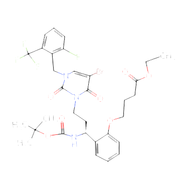 CCOC(=O)CCCOc1ccccc1[C@H](CCn1c(=O)c(Br)cn(Cc2c(F)cccc2C(F)(F)F)c1=O)NC(=O)OC(C)(C)C